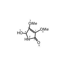 COC1=C(OC)C(O)NC1=O